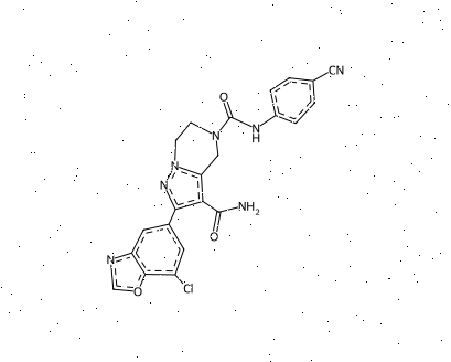 N#Cc1ccc(NC(=O)N2CCn3nc(-c4cc(Cl)c5ocnc5c4)c(C(N)=O)c3C2)cc1